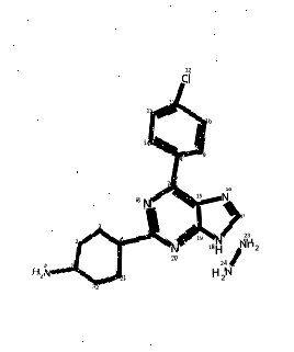 NC1CCC(c2nc(-c3ccc(Cl)cc3)c3nc[nH]c3n2)CC1.NN